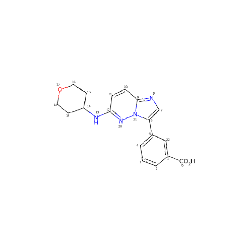 O=C(O)c1cccc(-c2cnc3ccc(NC4CCOCC4)nn23)c1